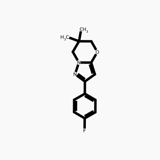 CC1(C)COc2cc(-c3ccc(F)cc3)nn2C1